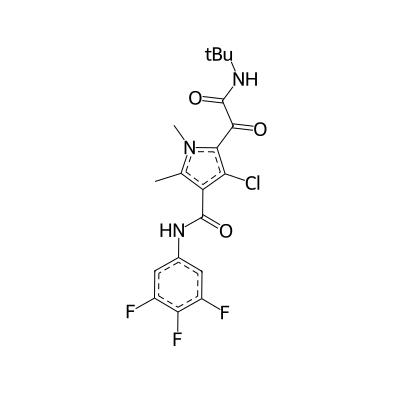 Cc1c(C(=O)Nc2cc(F)c(F)c(F)c2)c(Cl)c(C(=O)C(=O)NC(C)(C)C)n1C